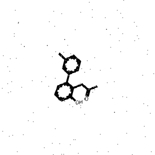 CC(=O)Cc1c(O)cccc1-c1cccc(C)c1